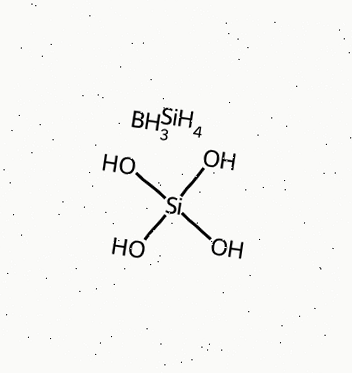 B.O[Si](O)(O)O.[SiH4]